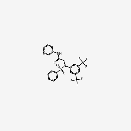 O=C(CN(c1cc(C(F)(F)F)cc(C(F)(F)F)c1)S(=O)(=O)c1ccccc1)Nc1cccnc1